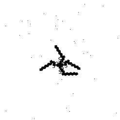 CCCCCCCCC(C)CC(=S)OCC(COC(=S)CC(C)CCCCCCCC)(COC(=S)CC(C)CCCCCCCC)COC(=S)CC(C)CCCCCCCC